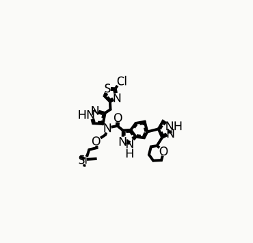 C[Si](C)(C)CCOCN(C(=O)c1n[nH]c2cc(-c3c[nH]nc3C3CCCCO3)ccc12)c1c[nH]nc1Cc1csc(Cl)n1